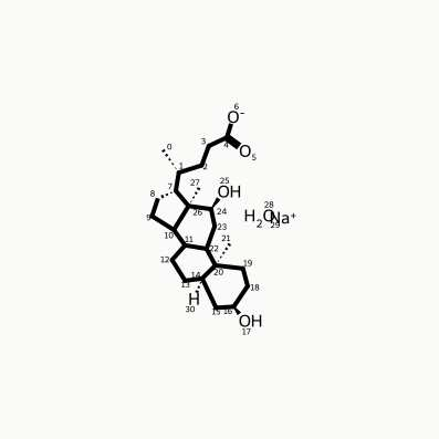 C[C@H](CCC(=O)[O-])[C@H]1CCC2C3CC[C@@H]4C[C@H](O)CC[C@]4(C)C3C[C@H](O)[C@@]21C.O.[Na+]